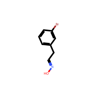 ON=CCc1cccc(Br)c1